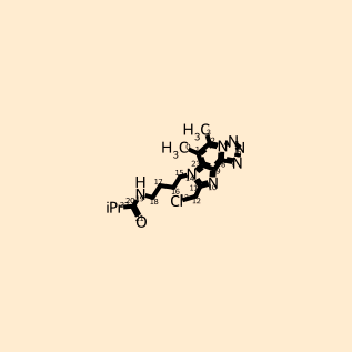 Cc1c(C)n2nnnc2c2nc(CCl)n(CCCCNC(=O)C(C)C)c12